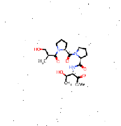 COC(=O)[C@@H](NC(=O)[C@@H]1CCCN1C(=O)[C@@H]1CCCN1C(=O)[C@@H](C)CO)[C@@H](C)O